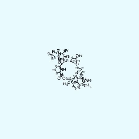 CCn1c(-c2cccnc2[C@H](C)OC)c2c3cc(ccc31)-c1cc(O)cc(c1)C[C@H](NC(=O)[C@H](C(C)C)N(C)C(=O)[C@@H]1CC1(F)F)C(=O)N1CCC[C@H](N1)C(=O)OCC(C)(C)C2